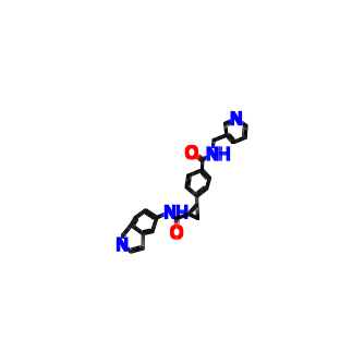 O=C(NCc1cccnc1)c1ccc(C2CC2C(=O)Nc2ccc3cnccc3c2)cc1